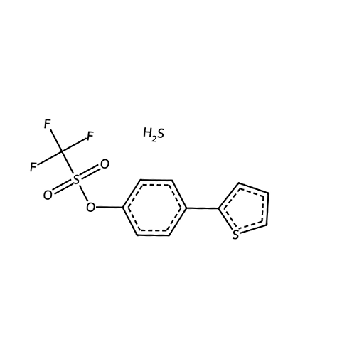 O=S(=O)(Oc1ccc(-c2cccs2)cc1)C(F)(F)F.S